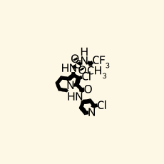 CC(NS(=O)(=O)Nc1c(Cl)c(C(=O)Nc2ccnc(Cl)c2)n2c1CCCC2)C(F)(F)F